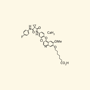 COc1cc2c(Oc3ccc(NC(=O)C4(C(=O)Nc5ccc(F)cc5)CC4)cc3Cl)ccnc2cc1OCCCCCCC(=O)O.[CaH2]